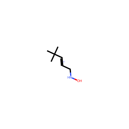 CC(C)(C)/C=C/CNO